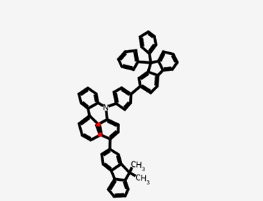 CC1(C)c2ccccc2-c2ccc(-c3ccc(N(c4ccc(-c5ccc6c(c5)C(c5ccccc5)(c5ccccc5)c5ccccc5-6)cc4)c4ccccc4-c4ccccc4)cc3)cc21